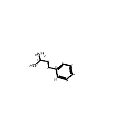 N[C](O)CCc1ccccc1